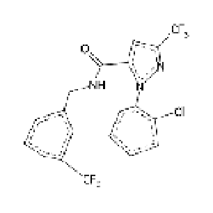 O=C(NCc1cccc(C(F)(F)F)c1)c1cc(C(F)(F)F)nn1-c1ccccc1Cl